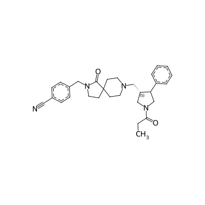 CCC(=O)N1CC(c2ccccc2)[C@@H](CN2CCC3(CC2)CCN(Cc2ccc(C#N)cc2)C3=O)C1